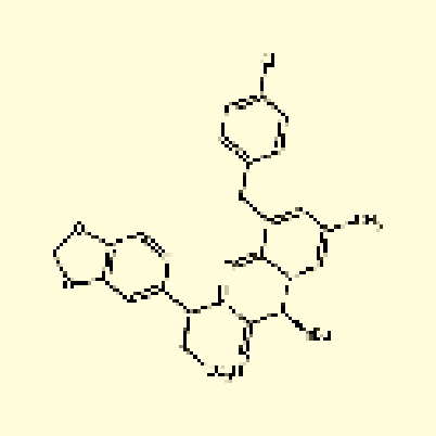 CCCC[C@@H](C(=O)N[C@@H](CC(=O)O)c1ccc2c(c1)OCO2)n1cc(C)cc(Cc2ccc(Cl)cc2)c1=O